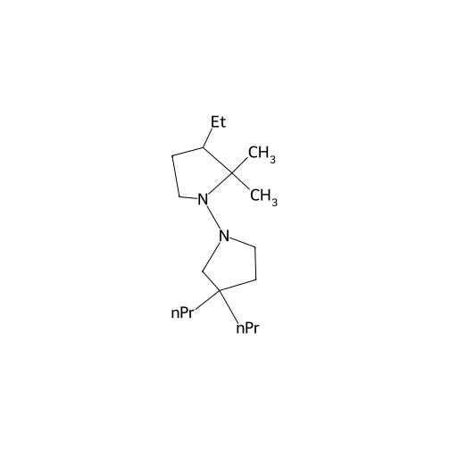 CCCC1(CCC)CCN(N2CCC(CC)C2(C)C)C1